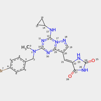 CN(Cc1ccc(Br)cc1)c1nc(NC2CC2)n2ncc(/C=C3\NC(=O)NC3=O)c2n1